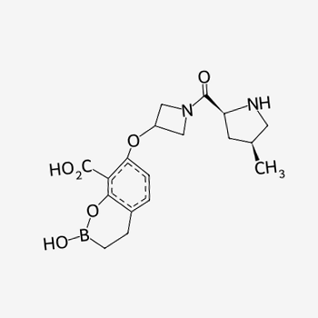 C[C@@H]1CN[C@H](C(=O)N2CC(Oc3ccc4c(c3C(=O)O)OB(O)CC4)C2)C1